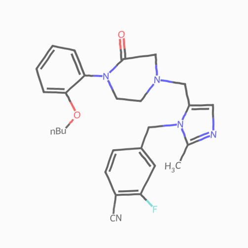 CCCCOc1ccccc1N1CCN(Cc2cnc(C)n2Cc2ccc(C#N)c(F)c2)CC1=O